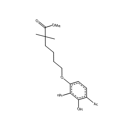 CCCc1c(OCCCCC(C)(C)C(=O)OC)ccc(C(C)=O)c1O